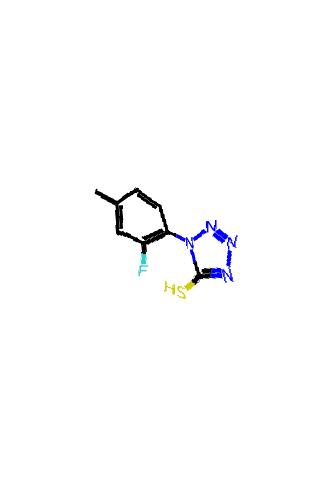 Cc1ccc(-n2nnnc2S)c(F)c1